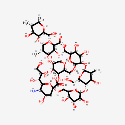 CC1C(O)[C@H](O[C@@H]2OC(CO[C@]3(C(=O)O)C[C@@H](O)[C@@H](N)C([C@H](O)[C@H](O)CO)O3)[C@H](O)[C@H](O)C2O)[C@H](CO)O[C@H]1O[C@@H]1C(O)[C@H](O)C(CO)O[C@@H]1OCC1O[C@@H](O[C@@H]2C(CO)O[C@@H](O[C@@H]3C(CO)O[C@@H](C)[C@@H](C)C3O)[C@@H](C)C2O)[C@H](O)C(O)[C@@H]1O